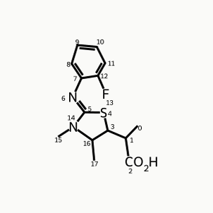 CC(C(=O)O)C1SC(=Nc2ccccc2F)N(C)C1C